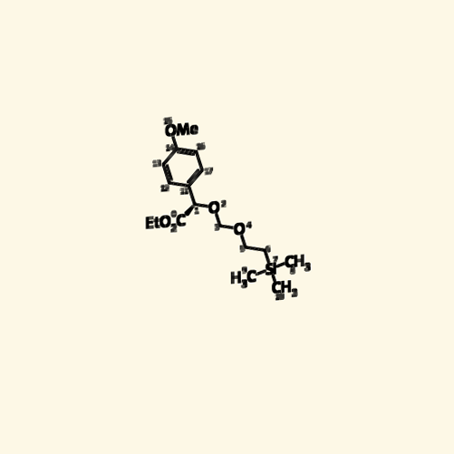 CCOC(=O)[C@H](OCOCC[Si](C)(C)C)c1ccc(OC)cc1